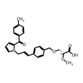 CO[C@H](COCc1ccc(C=CCn2cccc2C(=O)c2ccc(C)cc2)cc1)C(=O)O